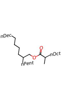 CCCCCCCCCCCCCCC(CCCCC)COC(=O)C(C)CCCCCCCC